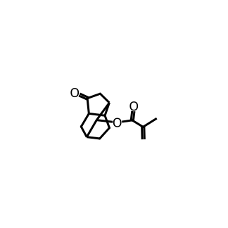 C=C(C)C(=O)OC1C2CCC3C(C2)C(=O)CC31